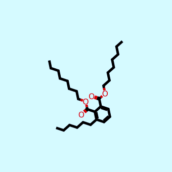 CCCCCCCCOC(=O)c1cccc(CCCCCC)c1C(=O)OCCCCCCCC